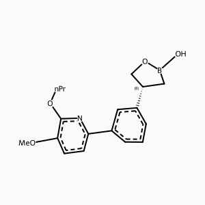 CCCOc1nc(-c2cccc([C@@H]3COB(O)C3)c2)ccc1OC